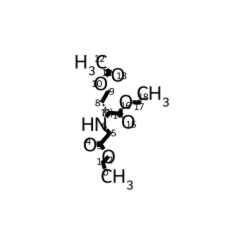 CCOC(=O)CN[C@H](CCOC(C)=O)C(=O)OCC